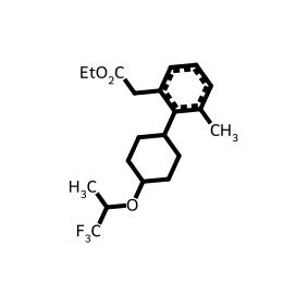 CCOC(=O)Cc1cccc(C)c1C1CCC(OC(C)C(F)(F)F)CC1